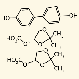 CC1(C)OC[C@@H](OC(=O)O)O1.CC1(C)OC[C@@H](OC(=O)O)O1.Oc1ccc(-c2ccc(O)cc2)cc1